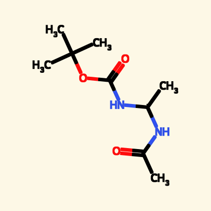 C[C](NC(C)=O)NC(=O)OC(C)(C)C